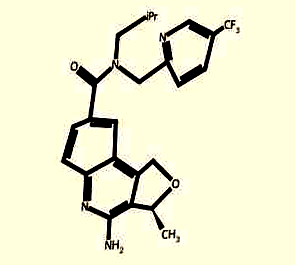 CC(C)CN(Cc1ccc(C(F)(F)F)cn1)C(=O)c1ccc2nc(N)c3c(c2c1)CO[C@H]3C